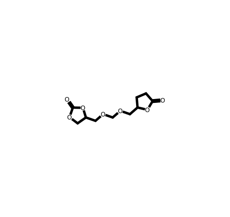 O=C1CCC(COCOCC2COC(=O)O2)O1